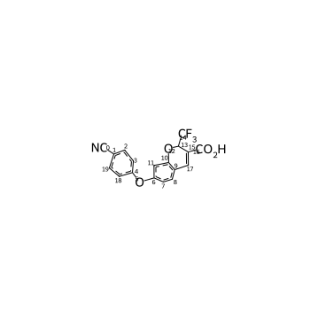 N#Cc1ccc(Oc2ccc3c(c2)OC(C(F)(F)F)C(C(=O)O)=C3)cc1